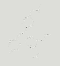 CCCC(=O)Cc1ccc(C(Cc2cc[n+]([O-])cc2)c2ccc(OC(F)F)c(OC(F)F)c2)nc1